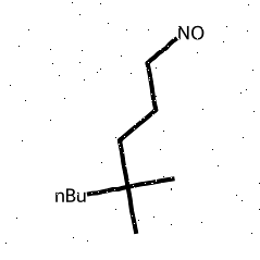 CCCCC(C)(C)CCCN=O